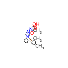 CC(=O)N(CC(=O)O)CN1CCN(c2ccccc2Sc2ccc(C)cc2C)CC1